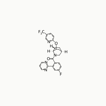 O=C(c1ccc(F)cc1-c1ncccn1)N1C[C@@H]2CC[C@H]1[C@H](Oc1ccc(C(F)(F)F)cn1)C2